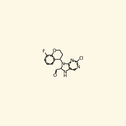 O=CC1Nc2cnc(Cl)nc2N1[C@@H]1CCOc2c(F)cccc21